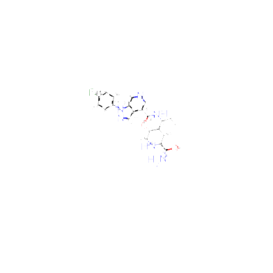 CC[C@H](NC(=O)c1cncc2c1cnn2-c1ccc(F)cc1)C1CCNC(C(N)=O)C1